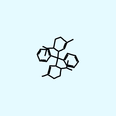 CC1=CC(C(c2ccccc2)(c2ccccc2)C2C=C(C)CCC2C(C)C)C(C(C)C)CC1